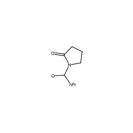 CCCC([O])N1CCCC1=O